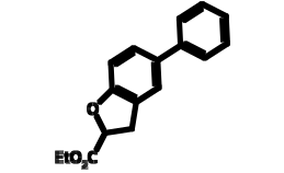 CCOC(=O)C1Cc2cc(-c3ccccc3)ccc2O1